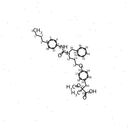 CCCCc1ccc(NC(=O)N(CCCOc2ccc(CC(C)(OC)C(=O)O)cc2)Cc2ccccc2)cc1